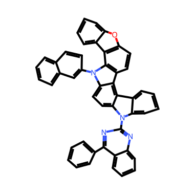 c1ccc(-c2nc(-n3c4ccccc4c4c5c6ccc7oc8ccccc8c7c6n(-c6ccc7ccccc7c6)c5ccc43)nc3ccccc23)cc1